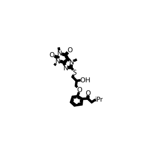 CC(C)CC(=O)c1ccccc1OCC(O)CSc1nc2c(c(=O)n(C)c(=O)n2C)n1C